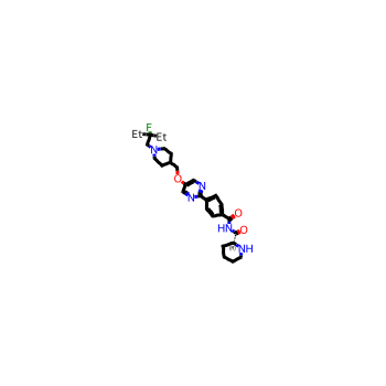 CCC(F)(CC)CN1CCC(COc2cnc(-c3ccc(C(=O)NC(=O)[C@H]4CCCCN4)cc3)nc2)CC1